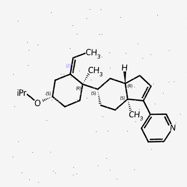 C/C=C1/C[C@@H](OC(C)C)CC[C@]1(C)[C@H]1CC[C@]2(C)C(c3cccnc3)=CC[C@H]2C1